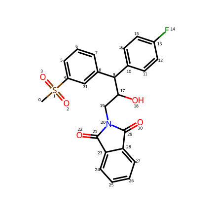 CS(=O)(=O)c1cccc(C(c2ccc(F)cc2)C(O)CN2C(=O)c3ccccc3C2=O)c1